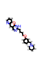 O=c1[nH]c(CCCCOc2cccc(CN3CCCCC3)c2)ncc1Cc1ccccn1